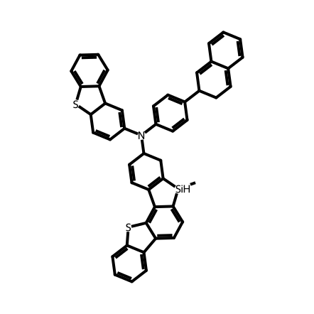 C[SiH]1C2=C(C=CC(N(C3=CC4c5ccccc5SC4C=C3)c3ccc(C4C=c5ccccc5=CC4)cc3)C2)c2c1ccc1c2sc2ccccc21